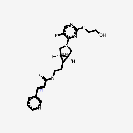 O=C(/C=C/c1cccnc1)NCCC1[C@H]2CN(c3nc(OCCO)ncc3F)C[C@@H]12